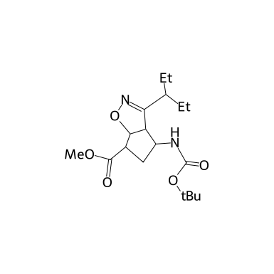 CCC(CC)C1=NOC2C(C(=O)OC)CC(NC(=O)OC(C)(C)C)C12